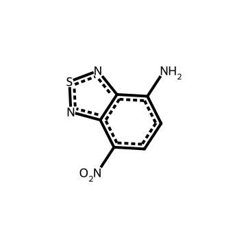 Nc1ccc([N+](=O)[O-])c2nsnc12